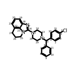 Clc1ccc(C(c2ccccc2)N2CCN(c3nc4cccc5c4n3CCC5)CC2)cc1